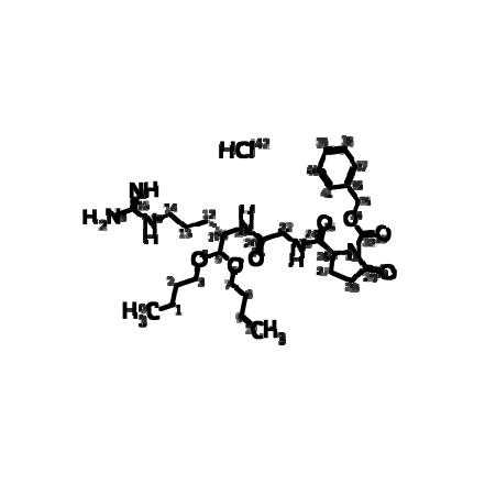 CCCCOC(OCCCC)[C@H](CCCNC(=N)N)NC(=O)CNC(=O)[C@@H]1CCC(=O)N1C(=O)OCc1ccccc1.Cl